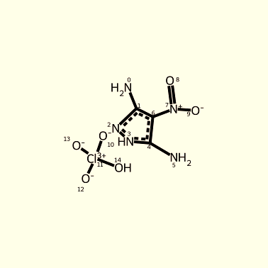 Nc1n[nH]c(N)c1[N+](=O)[O-].[O-][Cl+3]([O-])([O-])O